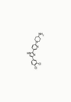 NC1CCN(c2ccc(-c3nc(-c4ccc(Cl)c(Cl)c4)c[nH]3)cn2)CC1